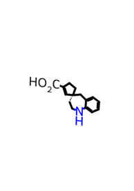 O=C(O)C1=C[C@@]2(CCNc3ccccc3C2)CC1